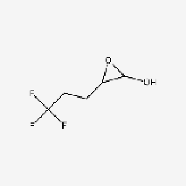 OC1OC1CCC(F)(F)F